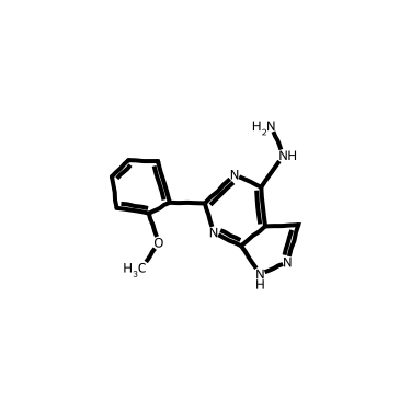 COc1ccccc1-c1nc(NN)c2cn[nH]c2n1